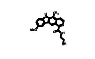 COc1ccc2[nH]c3c(C)c4ccnc(C(=O)NCCO)c4cc3c2c1